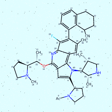 CC(=O)N1CCC[C@@H]1c1cc2c(O[C@@H](C)[C@@H]3CCCN3C)nc3c(F)c(-c4cccc5c4C(C#N)CCC5)c(C)cc3c2n1[C@H]1[C@H](C)CN[C@@H]1C